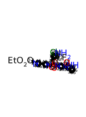 CCOC(=O)CCN1CCC(C2CCN(C(=O)[C@@H](Cc3cc(Cl)c(N)c(C(F)(F)F)c3)OC(=O)N3CCC(N4Cc5ccccc5NC4=O)CC3)CC2)CC1